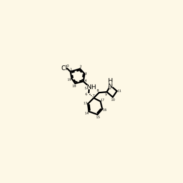 Clc1ccc(NC[C@@]2(CC3CCN3)C=CC=CC2)cc1